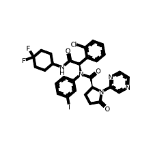 O=C(NC1CCC(F)(F)CC1)[C@@H](c1ccccc1Cl)N(C(=O)[C@@H]1CCC(=O)N1c1cnccn1)c1cccc(I)c1